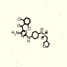 Nc1nc(NC2CCC(NS(=O)(=O)CC3CCOC3)CC2)sc1C(=O)c1c(Cl)cccc1Cl